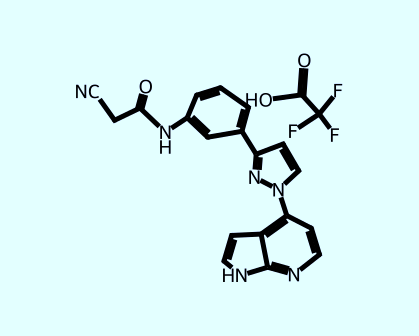 N#CCC(=O)Nc1cccc(-c2ccn(-c3ccnc4[nH]ccc34)n2)c1.O=C(O)C(F)(F)F